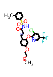 COCCOc1ccc(/C=C/C(=O)NS(=O)(=O)c2cccc(C)c2)c(Oc2ncc(C(F)(F)F)cc2Cl)c1